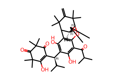 C=C1C(C)(C)C2c3c(O)c([C@H](C4=C(O)C(C)(C)C(=O)C(C)(C)C4=O)C(C)C)c(O)c(C(=O)C(C)C)c3O[C@]3(OC(C)(C)C[C@@H]23)C1(C)C